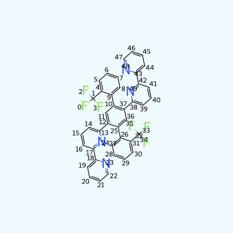 FC(F)(F)c1ccccc1-c1cc(-c2cccc(-c3ccccn3)n2)c(-c2ccccc2C(F)(F)F)cc1-c1cccc(-c2ccccn2)n1